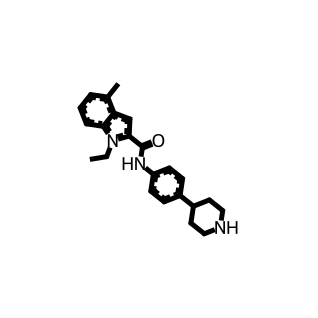 CCn1c(C(=O)Nc2ccc(C3CCNCC3)cc2)cc2c(C)cccc21